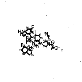 C=CC(=O)N1CCN(c2nc(OCC34CCCC3CC[C@H](F)C4)nc3c2CCCN3C(c2c(Cl)c(F)cc3[nH]ncc23)C(F)(F)F)C[C@@H]1CC#N